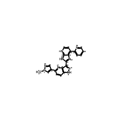 Cn1cc(-c2ccc3[nH]nc(-c4nc5c(-c6ccccn6)ccnc5[nH]4)c3n2)cn1